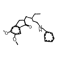 CCC(CCNCc1ccccc1)CC1Cc2cc(OC)c(OC)cc2C1=O